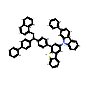 c1ccc(-c2ccc(C(Cc3cccc4ccccc34)c3ccc(-c4cc(-n5c6ccccc6c6ccc(-c7ccccc7)cc65)cc5c4sc4ccccc45)cc3)cc2)cc1